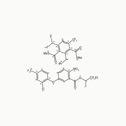 CCOC(=O)C(C)OC(=O)c1cc(Oc2ccc(C(F)(F)F)cc2Cl)ccc1[N+](=O)[O-].CSC(=O)c1c(C(F)F)nc(C(F)(F)F)c(C(=O)SC)c1CC(C)C